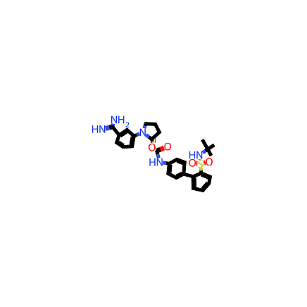 CC(C)(C)NS(=O)(=O)c1ccccc1-c1ccc(NC(=O)O[C@H]2CCCN2c2cccc(C(=N)N)c2)cc1